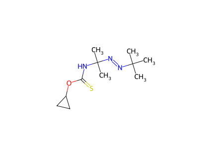 CC(C)(C)/N=N/C(C)(C)NC(=S)OC1CC1